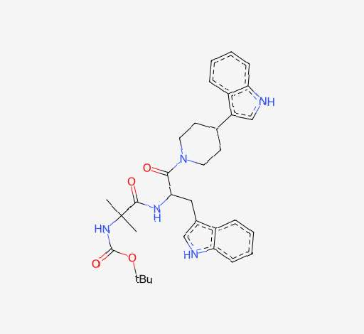 CC(C)(C)OC(=O)NC(C)(C)C(=O)NC(Cc1c[nH]c2ccccc12)C(=O)N1CCC(c2c[nH]c3ccccc23)CC1